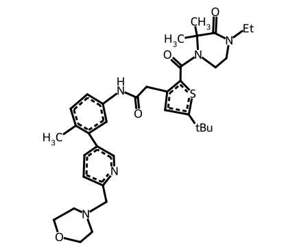 CCN1CCN(C(=O)c2sc(C(C)(C)C)cc2CC(=O)Nc2ccc(C)c(-c3ccc(CN4CCOCC4)nc3)c2)C(C)(C)C1=O